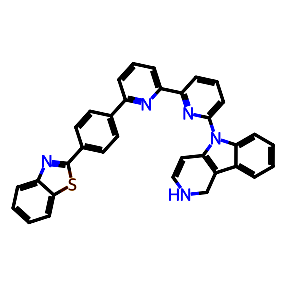 C1=Cc2c(c3ccccc3n2-c2cccc(-c3cccc(-c4ccc(-c5nc6ccccc6s5)cc4)n3)n2)CN1